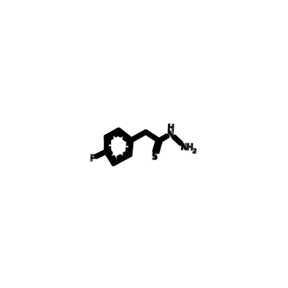 NNC(=S)Cc1ccc(F)cc1